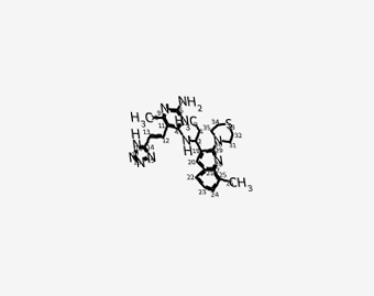 CCC(Nc1nc(N)nc(C)c1C=Cc1nnn[nH]1)c1cc2cccc(C)c2nc1N1CCSCC1